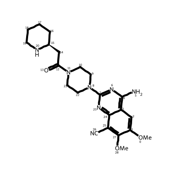 COc1cc2c(N)nc(N3CCN(C(=O)C[C@@H]4CCCCN4)CC3)nc2c(C#N)c1OC